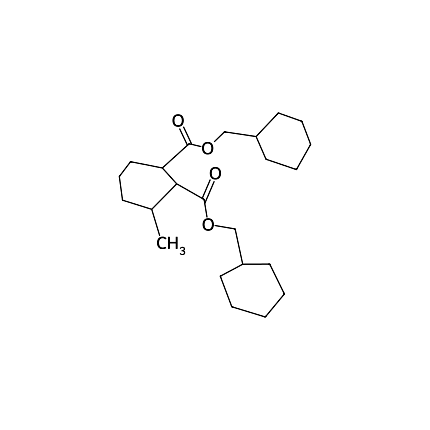 CC1CCCC(C(=O)OCC2CCCCC2)C1C(=O)OCC1CCCCC1